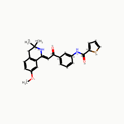 COc1ccc2c(c1)C(=CC(=O)c1cccc(NC(=O)c3cccs3)c1)NC(C)(C)C2